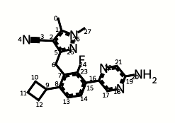 Cc1c(C#N)c(Cc2c(C3CCC3)ccc(-c3cnc(N)cn3)c2F)nn1C